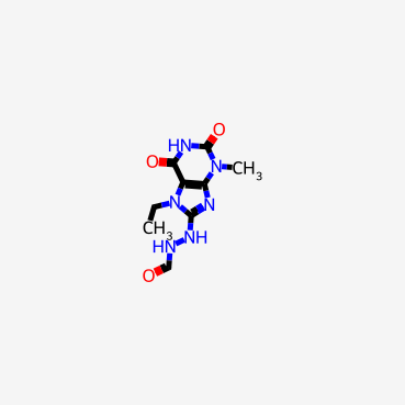 CCn1c(NNC=O)nc2c1c(=O)[nH]c(=O)n2C